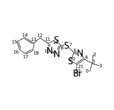 CC(C)(C)c1nc(Sc2nnc(Cc3ccccc3)s2)sc1Br